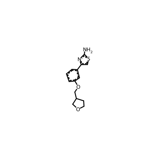 Nc1nc(-c2cccc(OCC3CCOC3)c2)cs1